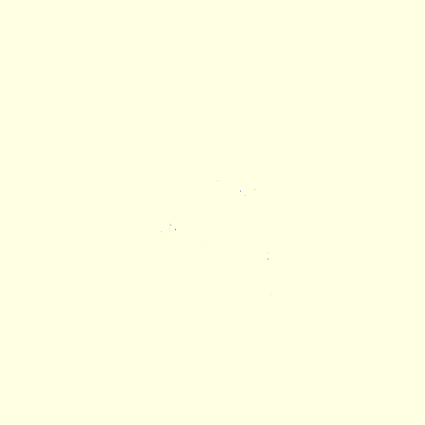 COC(=O)c1cnc2cc(Br)ccc2n1